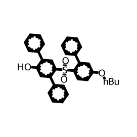 CCCCOc1ccc(S(=O)(=O)c2cc(-c3ccccc3)c(O)cc2-c2ccccc2)c(-c2ccccc2)c1